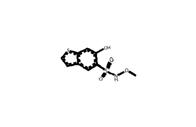 CONS(=O)(=O)c1cc2ccsc2cc1O